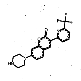 O=c1oc2cc(N3CCNCC3)ccc2cc1-c1cccc(C(F)(F)F)n1